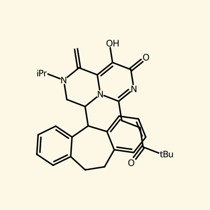 C=C1c2c(O)c(=O)nc(CCC(=O)C(C)(C)C)n2C(C2c3ccccc3CCc3ccccc32)CN1C(C)C